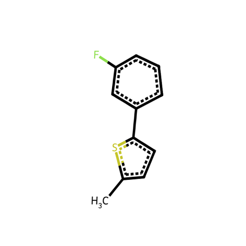 Cc1ccc(-c2cccc(F)c2)s1